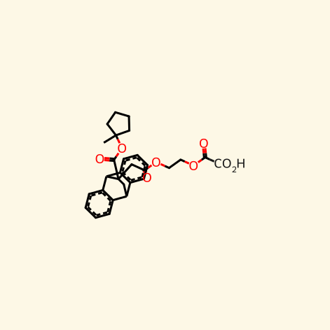 CC1(OC(=O)C2(CC(=O)OCCOC(=O)C(=O)O)CC3c4ccccc4C2c2ccccc23)CCCC1